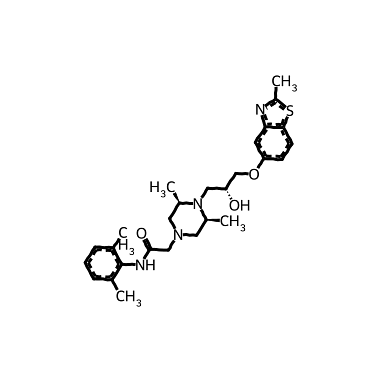 Cc1nc2cc(OC[C@H](O)CN3[C@H](C)CN(CC(=O)Nc4c(C)cccc4C)C[C@@H]3C)ccc2s1